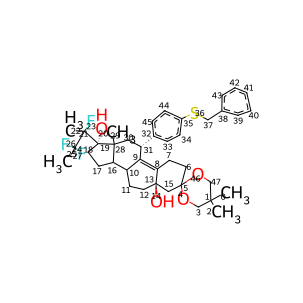 CC1(C)COC2(CCC3=C4C(CC[C@@]3(O)C2)C2CC[C@@](O)(C(C)(F)C(C)(F)F)C2(C)C[C@@H]4c2ccc(SCc3ccccc3)cc2)OC1